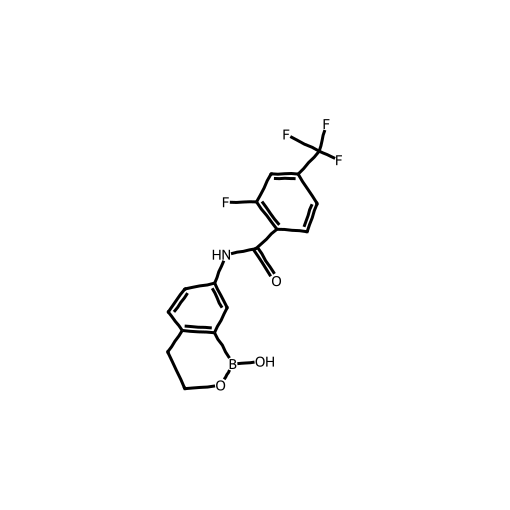 O=C(Nc1ccc2c(c1)B(O)OCC2)c1ccc(C(F)(F)F)cc1F